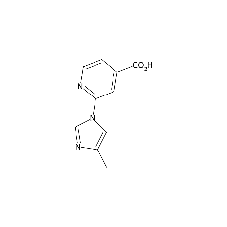 Cc1cn(-c2cc(C(=O)O)ccn2)cn1